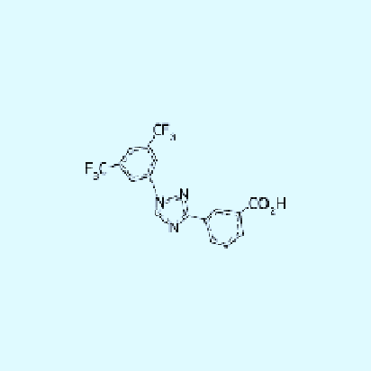 O=C(O)c1cccc(-c2ncn(-c3cc(C(F)(F)F)cc(C(F)(F)F)c3)n2)c1